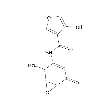 O=C(NC1=CC(=O)C2OC2C1O)c1cocc1O